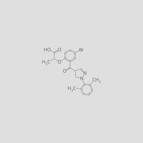 Cc1cccc(C)c1N1CC(C(=O)c2cc(Br)ccc2OC(C)C(=O)O)C=N1